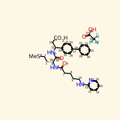 CSCC[C@@H](NC(=O)CCCCNc1ccccn1)C(=O)NC(CC(=O)O)c1ccc(-c2ccccc2)cc1.O=C(O)C(F)(F)F